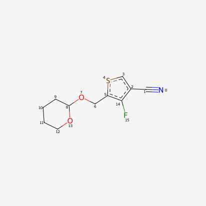 N#Cc1csc(COC2CCCCO2)c1F